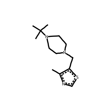 Cc1ncsc1CN1CCN(C(C)(C)C)CC1